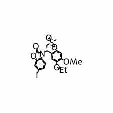 CCOc1cc([C@H](CS(C)(=O)=O)n2c(=O)oc3cc(I)ccc32)ccc1OC